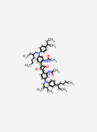 CCCCC(CC)CN(c1ccc(C(C)CC)cc1)c1ccc(C2=C([O-])/C(=C3C=C/C(=[N+](\CC(C)CC)c4ccc(C(CC)CCCC)cc4)C=C\3NC(C)=O)C2=O)c(NC(C)=O)c1